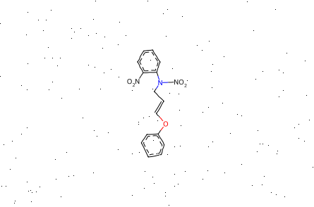 O=[N+]([O-])c1ccccc1N(CC=COc1ccccc1)[N+](=O)[O-]